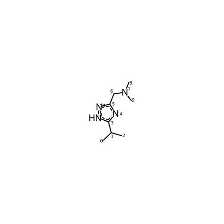 CC(C)c1nc(CN(C)C)n[nH]1